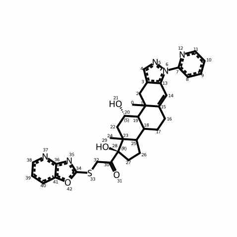 CC12Cc3cnn(-c4ccccn4)c3C=C1CCC1C2[C@@H](O)CC2(C)C1CC[C@]2(O)C(=O)CSc1nc2ncccc2o1